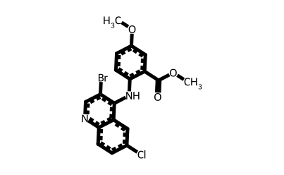 COC(=O)c1cc(OC)ccc1Nc1c(Br)cnc2ccc(Cl)cc12